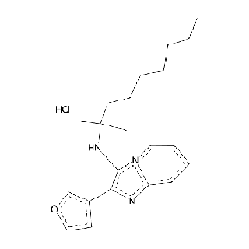 CCCCCCCC(C)(C)Nc1c(-c2ccoc2)nc2ccccn12.Cl